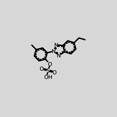 CCc1ccc2nn(-c3cc(C)ccc3OS(=O)(=O)O)nc2c1